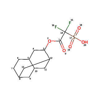 O=C(OC1CC2CCC3CC2CC1C3)C(F)(F)S(=O)(=O)O